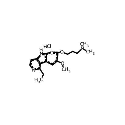 CCc1nccc2[nH]c3cc(OCCCN(C)C)c(OC)cc3c12.Cl